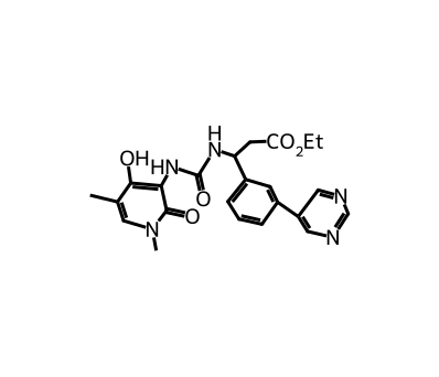 CCOC(=O)CC(NC(=O)Nc1c(O)c(C)cn(C)c1=O)c1cccc(-c2cncnc2)c1